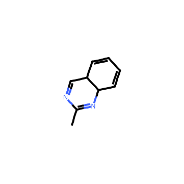 CC1=NC2C=CC=CC2C=N1